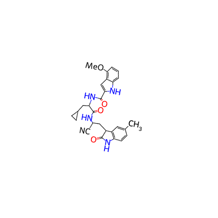 COc1cccc2[nH]c(C(=O)NC(CC3CC3)C(=O)NC(C#N)CC3C(=O)Nc4ccc(C)cc43)cc12